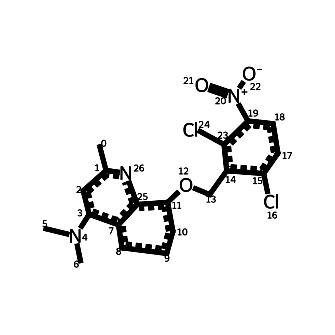 Cc1cc(N(C)C)c2cccc(OCc3c(Cl)ccc([N+](=O)[O-])c3Cl)c2n1